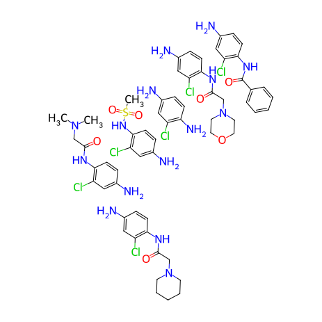 CN(C)CC(=O)Nc1ccc(N)cc1Cl.CS(=O)(=O)Nc1ccc(N)cc1Cl.Nc1ccc(N)c(Cl)c1.Nc1ccc(NC(=O)CN2CCCCC2)c(Cl)c1.Nc1ccc(NC(=O)CN2CCOCC2)c(Cl)c1.Nc1ccc(NC(=O)c2ccccc2)c(Cl)c1